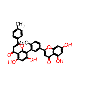 COc1ccc(-c2cc(=O)c3c(O)cc(O)cc3o2)cc1-c1c(O)cc(O)c2c(=O)cc(-c3ccc(C)cc3)oc12